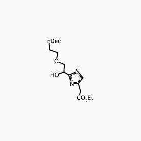 CCCCCCCCCCCCOCC(O)c1nc(CC(=O)OCC)cs1